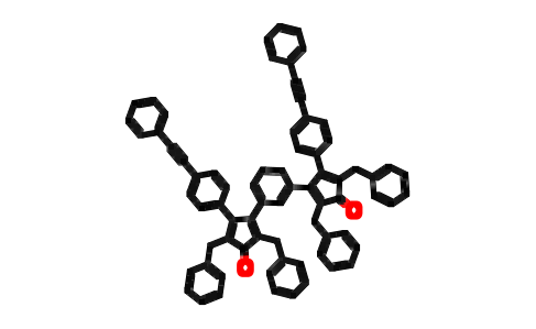 O=C1C(Cc2ccccc2)=C(c2ccc(C#Cc3ccccc3)cc2)C(c2cccc(C3=C(Cc4ccccc4)C(=O)C(Cc4ccccc4)=C3c3ccc(C#Cc4ccccc4)cc3)c2)=C1Cc1ccccc1